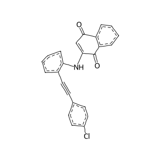 O=C1C=C(Nc2ccccc2C#Cc2ccc(Cl)cc2)C(=O)c2ccccc21